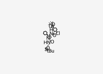 CC1(C)OB(c2ccc(Cl)c(C(=O)Nc3cc(C(=O)NCCO[Si](C)(C)C(C)(C)C)nn3-c3ccccc3)c2)OC1(C)C